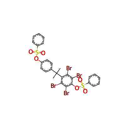 CC(C)(c1ccc(OS(=O)(=O)c2ccccc2)cc1)c1c(Br)c(Br)c(OS(=O)(=O)c2ccccc2)c(Br)c1Br